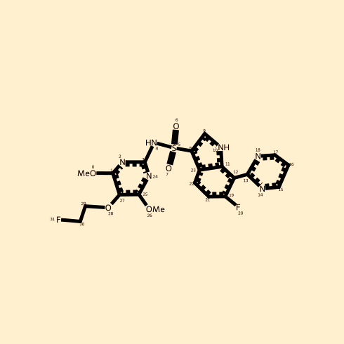 COc1nc(NS(=O)(=O)c2c[nH]c3c(-c4ncccn4)c(F)ccc23)nc(OC)c1OCCF